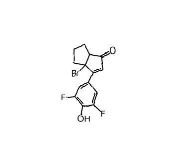 O=C1C=C(c2cc(F)c(O)c(F)c2)C2(Br)CCCC12